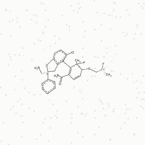 C[C@@H](F)COC1C=CC(C(N)=O)=C(c2c(Cl)ccc3c2C[C@@](CN)(c2ccccc2)O3)C1(C)F